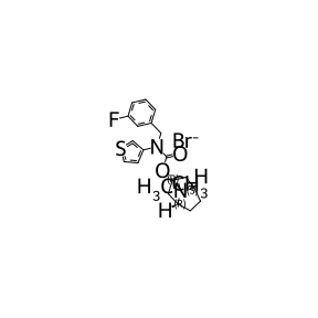 C[N+]1(C)[C@@H]2CC[C@H]1C[C@@H](OC(=O)N(Cc1cccc(F)c1)c1ccsc1)C2.[Br-]